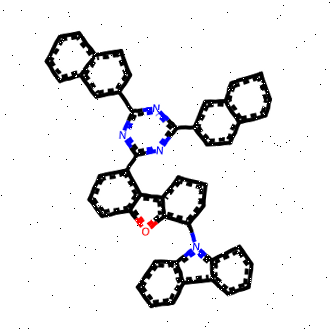 c1ccc2cc(-c3nc(-c4ccc5ccccc5c4)nc(-c4cccc5oc6c(-n7c8ccccc8c8ccccc87)cccc6c45)n3)ccc2c1